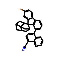 N#Cc1ccc(-c2cccc3c2C2(c4cc(Br)ccc4-3)C3CC4CC(C3)CC2C4)c2ccccc12